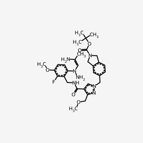 COCc1nn(Cc2ccc3c(c2)CN(C(=O)OC(C)(C)C)C3)cc1C(=O)NCc1c(N(N)/C=C(/C)N)ccc(OC)c1F